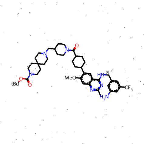 COc1cc2nc(C)nc(N[C@H](C)c3cc(N)cc(C(F)(F)F)c3)c2cc1C1CCC(C(=O)N2CCC(CN3CCC4(CC3)CCN(C(=O)OC(C)(C)C)CC4)CC2)CC1